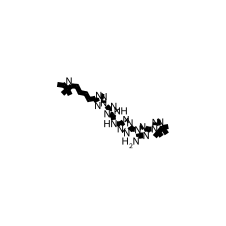 CC1N=C(CCCCc2nnn(-c3n[nH]c(Nc4nnc(-n5nc(N6N=NC(C)(C)C6(C)C)nc5N)nn4)n3)n2)C1(C)C